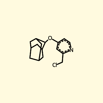 ClCc1cc(OC2C3CC4CC(C3)CC2C4)ccn1